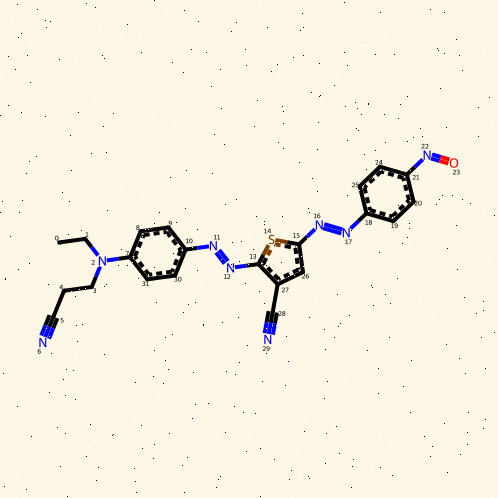 CCN(CCC#N)c1ccc(N=Nc2sc(N=Nc3ccc(N=O)cc3)cc2C#N)cc1